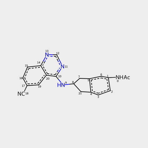 CC(=O)Nc1ccc2c(c1)CC(Nc1ncnc3ccc(C#N)cc13)C2